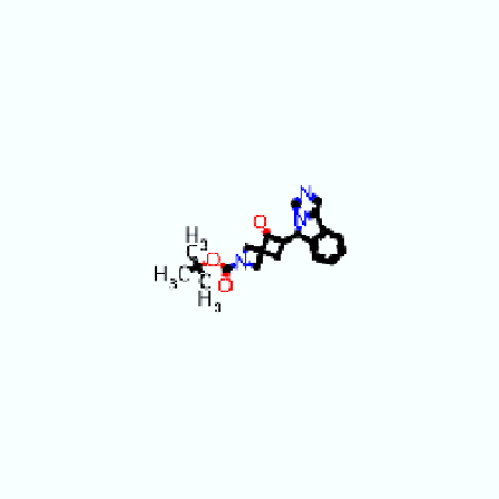 CC(C)(C)OC(=O)N1CC2(CC(C3c4ccccc4-c4cncn43)C2=O)C1